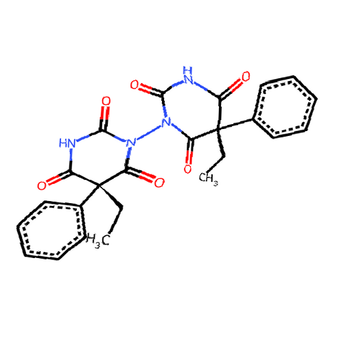 CCC1(c2ccccc2)C(=O)NC(=O)N(N2C(=O)NC(=O)[C@@](CC)(c3ccccc3)C2=O)C1=O